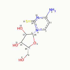 Nc1ccn([C@@H]2O[C@H](CO)C(O)C2O)c(=S)n1